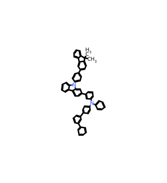 CC1(C)c2ccccc2-c2cc(-c3ccc(-n4c5ccccc5c5ccc(-c6cccc(N(c7ccccc7)c7ccc(-c8cccc(-c9ccccc9)c8)cc7)c6)cc54)cc3)ccc21